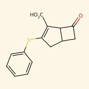 O=C(O)C1=C(Sc2ccccc2)CC2CC(=O)C12